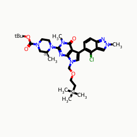 C[C@H]1CN(C(=O)OC(C)(C)C)CCN1c1nc2c(c(-c3ccc4nn(C)cc4c3Cl)cn2COCC[Si](C)(C)C)c(=O)n1C